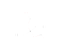 O=C(O)C(OCO)(OCO)C(=O)O